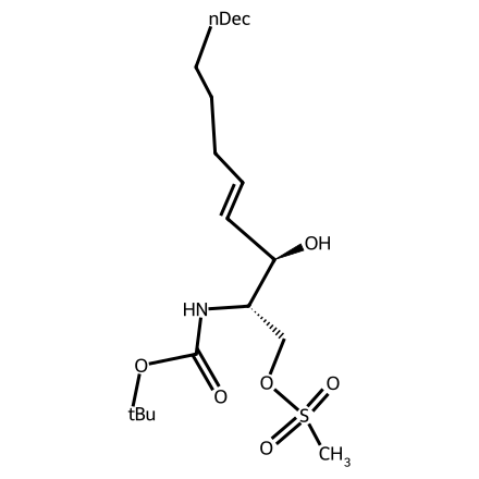 CCCCCCCCCCCCC/C=C/[C@@H](O)[C@H](COS(C)(=O)=O)NC(=O)OC(C)(C)C